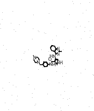 Cc1nc2c(c(Nc3c[nH]nc3C(=O)Nc3ccc(CN4CCN(C)CC4)cc3)n1)CCCC2